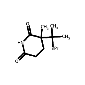 CCCC(C)(C)C1(C)CCC(=O)NC1=O